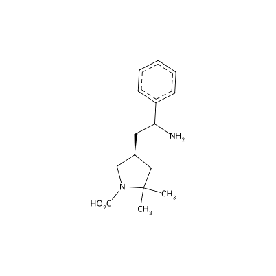 CC1(C)C[C@H](CC(N)c2ccccc2)CN1C(=O)O